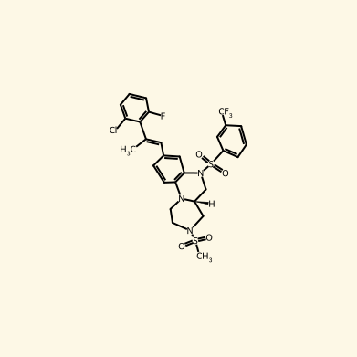 C/C(=C\c1ccc2c(c1)N(S(=O)(=O)c1cccc(C(F)(F)F)c1)C[C@@H]1CN(S(C)(=O)=O)CCN21)c1c(F)cccc1Cl